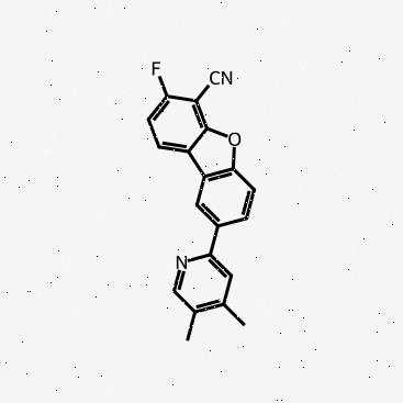 Cc1cnc(-c2ccc3oc4c(C#N)c(F)ccc4c3c2)cc1C